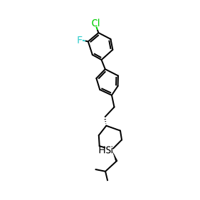 CC(C)C[Si@H]1CC[C@H](CCc2ccc(-c3ccc(Cl)c(F)c3)cc2)CC1